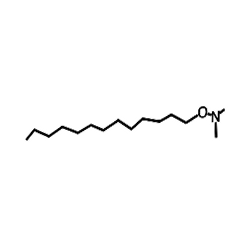 CCCCCCCCCCCCCON(C)C